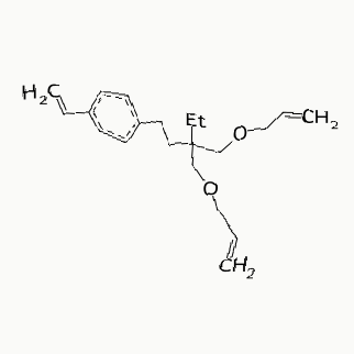 C=CCOCC(CC)(CCc1ccc(C=C)cc1)COCC=C